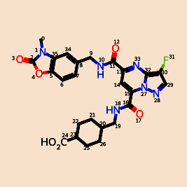 Cn1c(=O)oc2ccc(CNC(=O)c3cc(C(=O)NCC4CCC(C(=O)O)CC4)n4ncc(F)c4n3)cc21